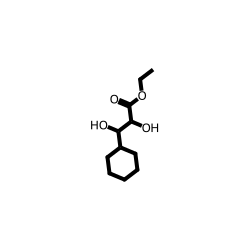 CCOC(=O)C(O)C(O)C1CCCCC1